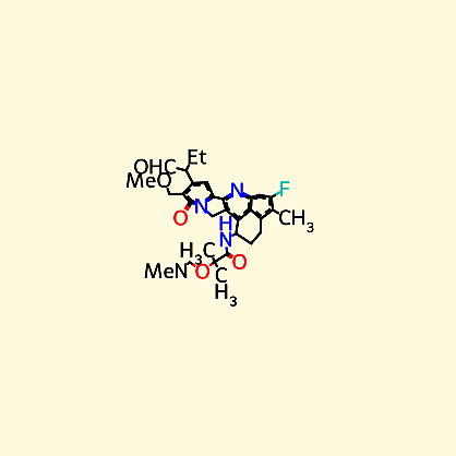 CCC(C=O)c1cc2n(c(=O)c1COC)Cc1c-2nc2cc(F)c(C)c3c2c1C(NC(=O)C(C)(C)OCNC)CC3